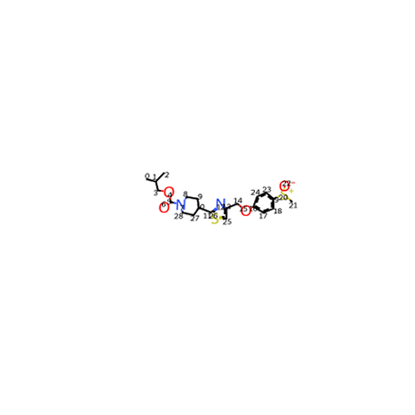 CC(C)COC(=O)N1CCC(c2nc(COc3ccc([S+](C)[O-])cc3)cs2)CC1